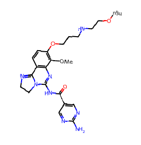 CCCCOCCNCCCOc1ccc2c(c1OC)N=C(NC(=O)c1cnc(N)nc1)N1CCN=C21